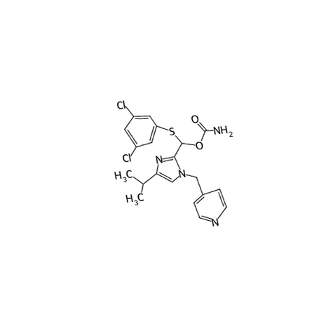 CC(C)c1cn(Cc2ccncc2)c(C(OC(N)=O)Sc2cc(Cl)cc(Cl)c2)n1